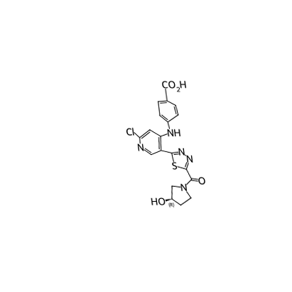 O=C(O)c1ccc(Nc2cc(Cl)ncc2-c2nnc(C(=O)N3CC[C@@H](O)C3)s2)cc1